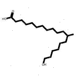 CC(CCCCCCO)CCCCCCCCCCC(=O)O